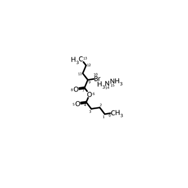 CCCCC(=O)OC(=O)C(Br)CCC.N.N